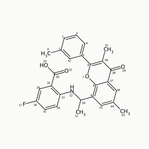 Cc1cccc(-c2oc3c(C(C)Nc4ccc(F)cc4C(=O)O)cc(C)cc3c(=O)c2C)c1